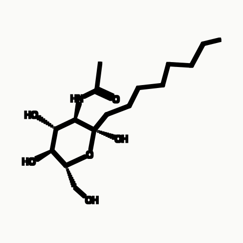 CCCCCCCC[C@@]1(O)O[C@H](CO)[C@@H](O)[C@H](O)[C@H]1NC(C)=O